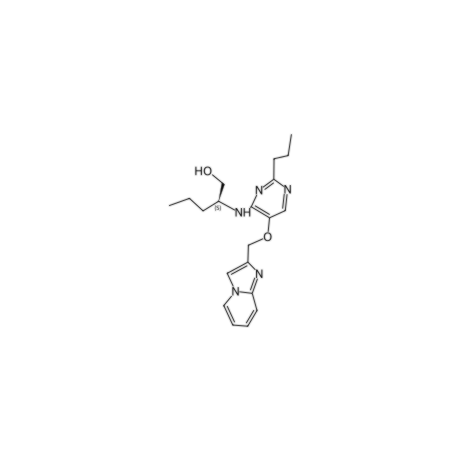 CCCc1ncc(OCc2cn3ccccc3n2)c(N[C@H](CO)CCC)n1